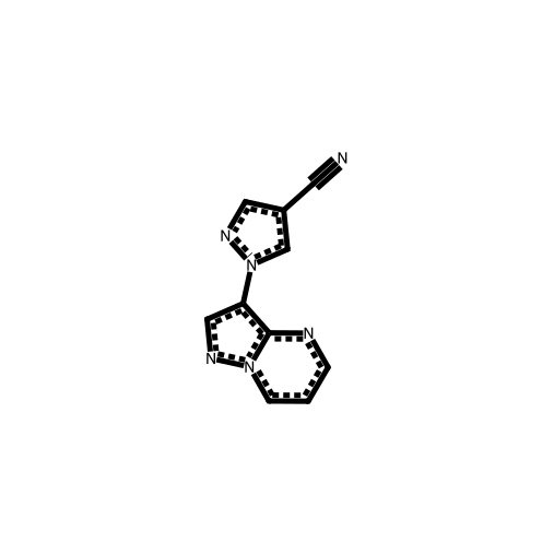 N#Cc1cnn(-c2cnn3cccnc23)c1